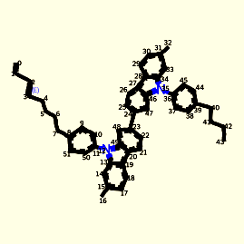 C=C/C=C/CCCCc1ccc(-n2c3cc(C)ccc3c3ccc(-c4ccc5c6ccc(C)cc6n(-c6ccc(CCCC)cc6)c5c4)cc32)cc1